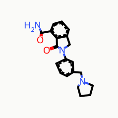 NC(=O)c1cccc2c1C(=O)N(c1cccc(CN3CCCC3)c1)C2